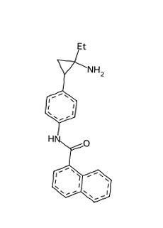 CCC1(N)CC1c1ccc(NC(=O)c2cccc3ccccc23)cc1